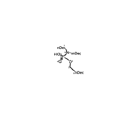 CCCCCCCCCCCOP(=O)(O)N(CCCCCCCCCC)CCCCCCCCCC